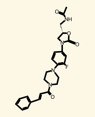 CC(=O)NC[C@H]1CN(c2ccc(N3CCN(C(=O)C=Cc4ccccc4)CC3)c(F)c2)C(=O)O1